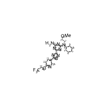 COCCN(c1ccccc1)c1nc(N)nc(-c2noc(-c3ccc(OCC(F)(F)F)nc3)n2)n1